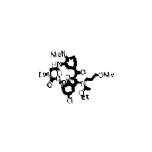 C=C(OCC)N(CCCOC)c1c(C(=O)c2ccc(NC)c(NC(=O)CN(CC)C(=O)OC(C)(C)C)c2)oc2ccc(Cl)cc12